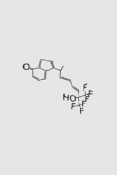 CC(C=CC=CC(O)(C(F)(F)F)C(F)(F)F)C1=CC=C2C(=O)C=CC=C21